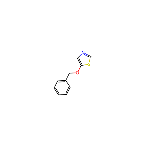 [c]1ncc(OCc2ccccc2)s1